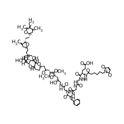 C=C1C[C@H](CC[C@@]23CO[C@@H]4C(C)C(O[C@H]5CC[C@H](CC(=O)C[C@@H]6[C@@H](OC)[C@@H](C[C@H](O)CNC(=O)CNC(=O)[C@H](Cc7ccccc7)NC(=O)CNC(=O)CNC(=O)C(CCC(=O)O)NC(=O)CCCCCN7C(=O)C=CC7=O)O[C@H]6C)O[C@@H]54)[C@@H](O2)C(O)C3)O[C@H]1CC[C@H]1C[C@@H](C)C(=C)[C@@H](C)O1